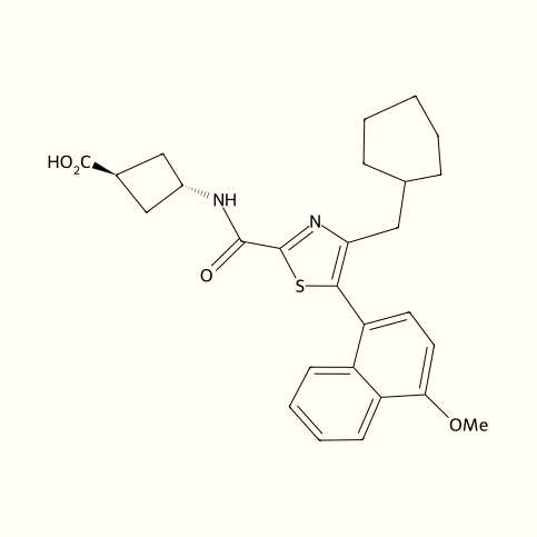 COc1ccc(-c2sc(C(=O)N[C@H]3C[C@H](C(=O)O)C3)nc2CC2CCCCC2)c2ccccc12